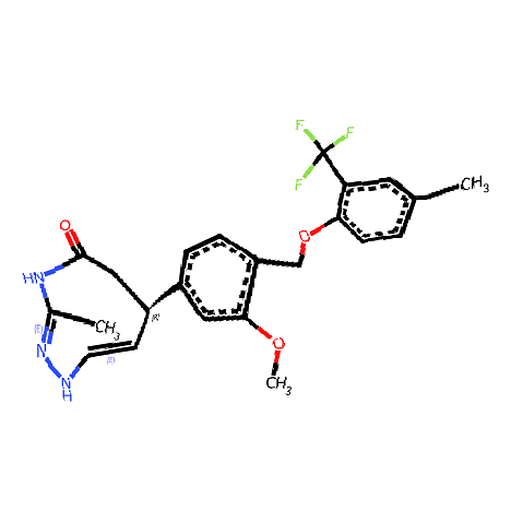 COc1cc([C@H]2/C=C/N/N=C(\C)NC(=O)C2)ccc1COc1ccc(C)cc1C(F)(F)F